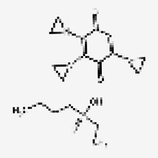 CCCCP(=O)(O)CC.O=C1C=C(N2CC2)C(=O)C(N2CC2)=C1N1CC1